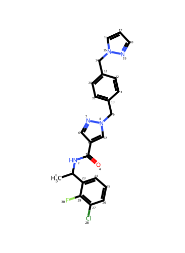 CC(NC(=O)c1cnn(Cc2ccc(Cn3cccn3)cc2)c1)c1cccc(Cl)c1F